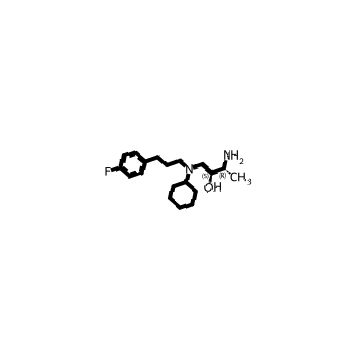 C[C@@H](N)[C@@H](O)CN(CCCc1ccc(F)cc1)C1CCCCC1